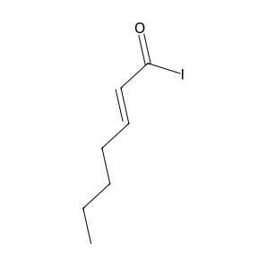 CCCCC=CC(=O)I